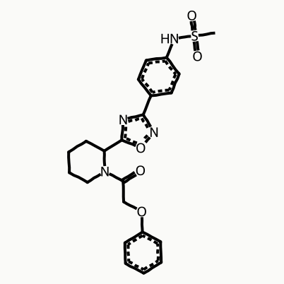 CS(=O)(=O)Nc1ccc(-c2noc(C3CCCCN3C(=O)COc3ccccc3)n2)cc1